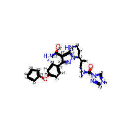 CC(CN(C)C(=O)n1cncn1)C1CCNc2c(C(N)=O)c(-c3ccc(Oc4ccccc4)cc3)nn21